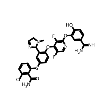 CN1CC=NC1c1cc(Sc2cccc(Cl)c2C(N)=O)ccc1Oc1c(F)cnc(Oc2cc(C(=N)N)ccc2O)c1F